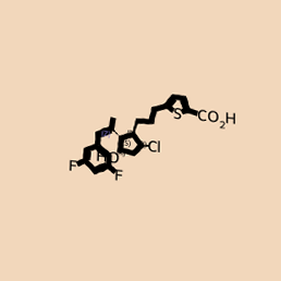 C/C(=C/c1cc(F)cc(F)c1)[C@@H]1[C@@H](CCCc2ccc(C(=O)O)s2)[C@H](Cl)C[C@H]1O